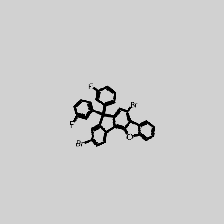 Fc1cccc(C2(c3cccc(F)c3)c3cc(Br)ccc3-c3c2cc(Br)c2c3oc3ccccc32)c1